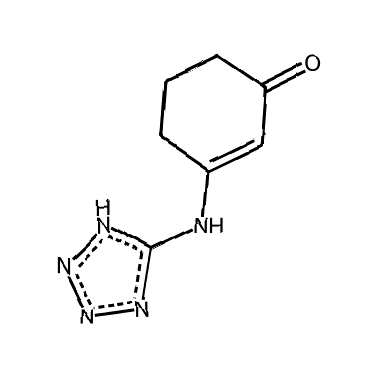 O=C1C=C(Nc2nnn[nH]2)CCC1